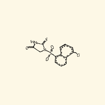 O=C1CN(S(=O)(=O)c2cccc3c(Cl)cccc23)C(=S)N1